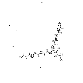 CCCCOCCOCCOC(OCCOCCOCC)C(C)CCC